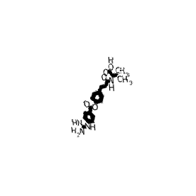 CC(C)[C@H](NC(=O)CCc1ccc(OC(=O)c2ccc(NC(=N)N)cc2)cc1)C(=O)O